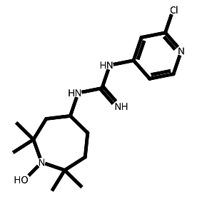 CC1(C)CCC(NC(=N)Nc2ccnc(Cl)c2)CC(C)(C)N1O